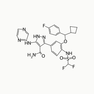 NC(=O)c1c(-c2ccc(NS(=O)(=O)C(F)F)c(OC(c3ccc(F)cc3)C3CCC3)c2)n[nH]c1Nc1cnccn1